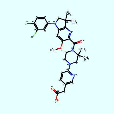 COc1cc2c(nc1C(=O)N1CCN(c3ccc(CC(=O)O)cn3)CC1(C)C)C(C)(C)CN2c1ccc(Cl)c(F)c1